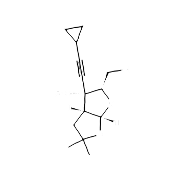 CC(=O)O[C@]1(C#CC2CC2)[C@@H](CO)O[C@@H]2OC(C)(C)C[C@@H]21